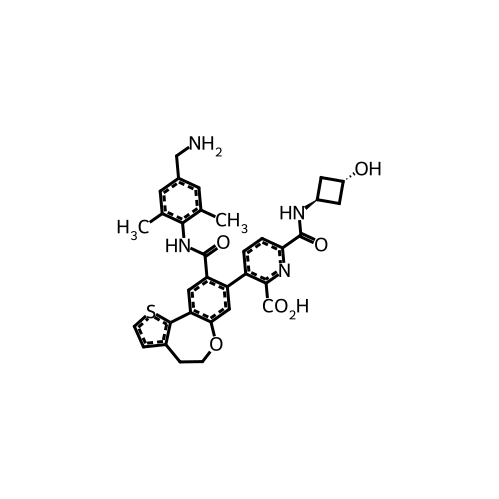 Cc1cc(CN)cc(C)c1NC(=O)c1cc2c(cc1-c1ccc(C(=O)N[C@H]3C[C@H](O)C3)nc1C(=O)O)OCCc1ccsc1-2